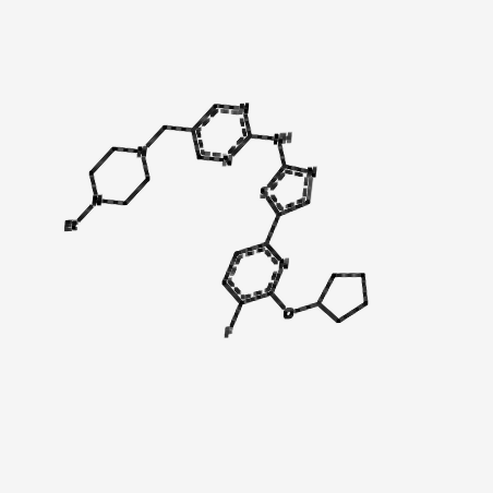 CCN1CCN(Cc2cnc(Nc3ncc(-c4ccc(F)c(OC5CCCC5)n4)s3)nc2)CC1